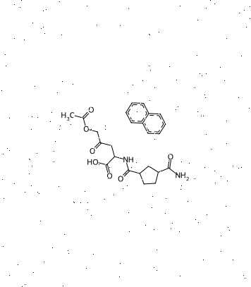 CC(=O)OCC(=O)CC(NC(=O)C1CCC(C(N)=O)C1)C(=O)O.c1ccc2ccccc2c1